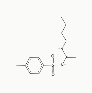 C=C(NCCCC)NS(=O)(=O)c1ccc(C)cc1